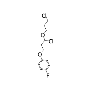 Fc1ccc(OCCC(Cl)OCCCCl)cc1